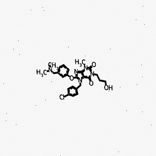 CN(C)Cc1cccc(Oc2nc3c(c(=O)n(CCCO)c(=O)n3C)n2Cc2ccc(Cl)cc2)c1